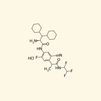 CC(C(=O)NC(F)C(F)F)c1cc(F)c(NC(=O)[C@@H](N)C(C2CCCCC2)C2CCCCC2)cc1C#N.Cl